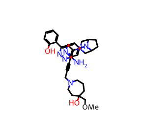 COCC1(O)CCCN(CC#Cc2cc(N3C4CCC3CN(c3cc(-c5ccccc5O)nnc3N)C4)ccn2)CC1